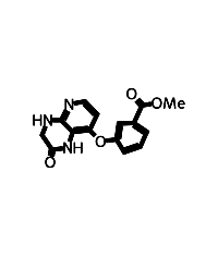 COC(=O)c1cccc(Oc2ccnc3c2NC(=O)CN3)c1